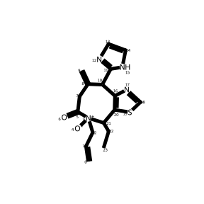 C=CC[N+]1([O-])C(=O)CC(=C)C(c2ncc[nH]2)c2ncsc2C1CC